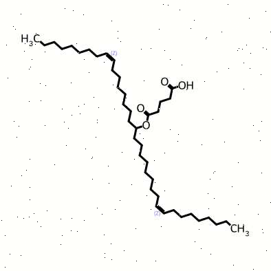 CCCCCCCC/C=C\CCCCCCCCC(CCCCCCC/C=C\CCCCCCCC)OC(=O)CCCC(=O)O